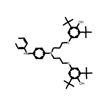 C/C=C\C(=C/C)Nc1ccc(N(CCCSc2cc(C(C)(C)C)c(O)c(C(C)(C)C)c2)CCCSc2cc(C(C)(C)C)c(O)c(C(C)(C)C)c2)cc1